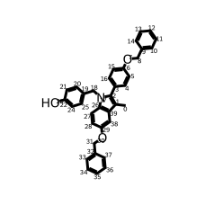 Cc1c(-c2ccc(OCc3ccccc3)cc2)n(Cc2ccc(O)cc2)c2ccc(OCc3ccccc3)cc12